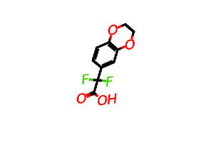 O=C(O)C(F)(F)c1ccc2c(c1)OCCO2